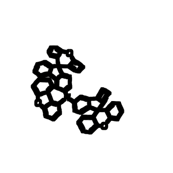 c1ccc2c(c1)Oc1ccccc1C21c2ccccc2-c2cc(N(c3ccc4c(c3)-c3ccccc3C43c4ccccc4Oc4ccccc43)c3cccc4oc5ccccc5c34)ccc21